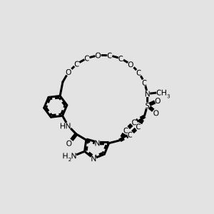 CN1CCOCCOCCOCc2cccc(c2)NC(=O)c2nc(cnc2N)-c2ccc(cc2)S1(=O)=O